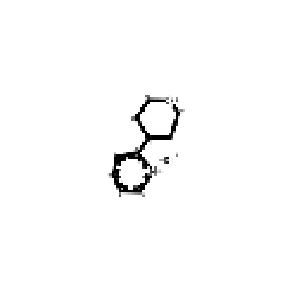 Cl.c1ccc(C2CCOCC2)nc1